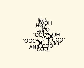 O=C([O-])CC(O)(CC(=O)[O-])C(=O)[O-].O=C([O-])CC(O)(CC(=O)[O-])C(=O)[O-].O=P(O)(O)O.[Al+3].[Na+].[Na+].[Na+]